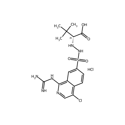 CC(C)(C)[C@@H](NNS(=O)(=O)c1ccc2c(Cl)cnc(NC(=N)N)c2c1)C(=O)O.Cl